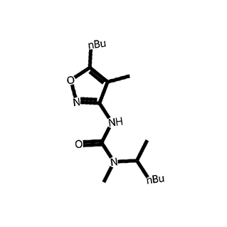 CCCCc1onc(NC(=O)N(C)C(C)CCCC)c1C